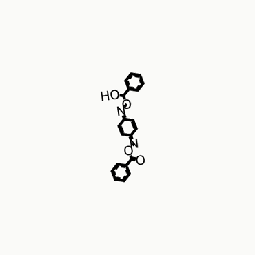 O=C(ON=C1C=CC(=NOC(O)c2ccccc2)C=C1)c1ccccc1